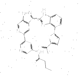 CCCC(=O)Nc1cncc(-c2cc3c(-c4nc5c(-c6ccc(C(C)=O)s6)cccc5[nH]4)n[nH]c3cn2)c1